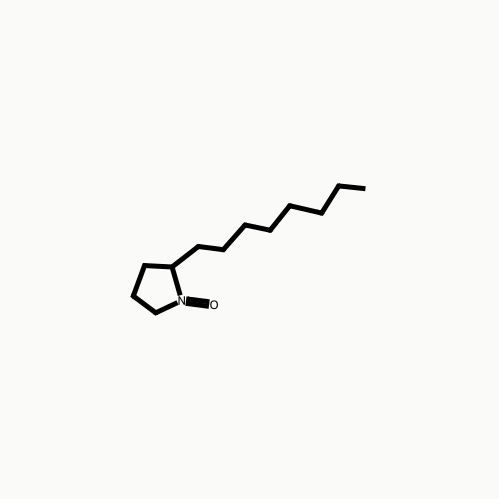 CCCCCCCCC1CCC[N+]1=O